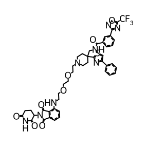 O=C1CCC(N2C(=O)c3cccc(NCCOCCOCCN4CCC(CNC(=O)c5cccc(-c6noc(C(F)(F)F)n6)c5)(c5nc(-c6ccccc6)cs5)CC4)c3C2=O)C(=O)N1